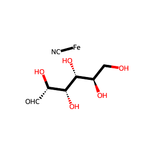 N#[C][Fe].O=C[C@H](O)[C@@H](O)[C@H](O)[C@H](O)CO